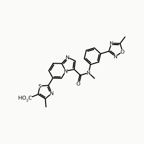 Cc1nc(-c2cccc(N(C)C(=O)c3cnc4ccc(-c5nc(C)c(C(=O)O)s5)cn34)c2)no1